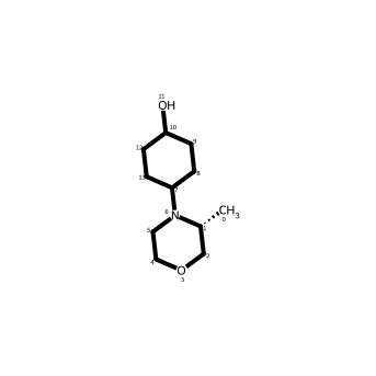 C[C@@H]1COCCN1C1CCC(O)CC1